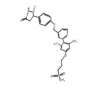 Cc1cc(OCCCS(C)(=O)=O)cc(C)c1-c1cccc(COc2ccc(C3CC(=O)N[S+]3[O-])cc2)c1